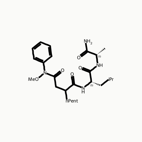 CCCCCC(CC(=O)N(OC)c1ccccc1)C(=O)N[C@@H](CC(C)C)C(=O)N[C@@H](C)C(N)=O